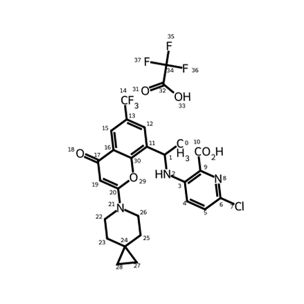 CC(Nc1ccc(Cl)nc1C(=O)O)c1cc(C(F)(F)F)cc2c(=O)cc(N3CCC4(CC3)CC4)oc12.O=C(O)C(F)(F)F